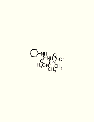 CN(C(=O)[O-])C(NC(=O)NC1CCCCC1)=[N+](C)C